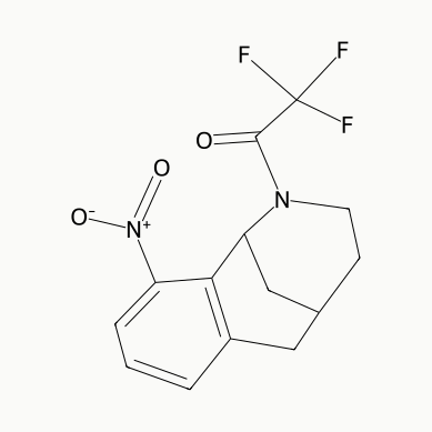 O=C(N1CCC2Cc3cccc([N+](=O)[O-])c3C1C2)C(F)(F)F